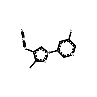 Cc1nn(-c2cncc(F)c2)cc1N=C=S